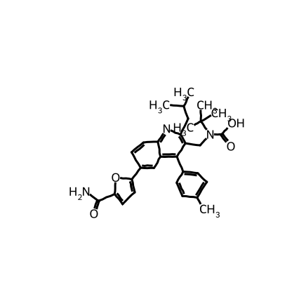 Cc1ccc(-c2c(CN(C(=O)O)C(C)(C)C)c(CC(C)C)nc3ccc(-c4ccc(C(N)=O)o4)cc23)cc1